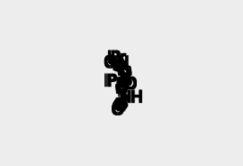 CC(C)Oc1cnc2c(c1)CN(C(=O)[C@@]1(C(C)C)CC[C@@H](NC3CCOCC3)C1)CC2